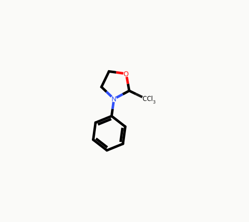 ClC(Cl)(Cl)C1OCCN1c1ccccc1